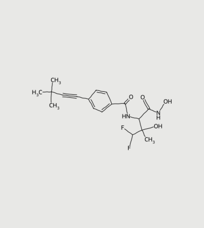 CC(C)(C)C#Cc1ccc(C(=O)NC(C(=O)NO)C(C)(O)C(F)F)cc1